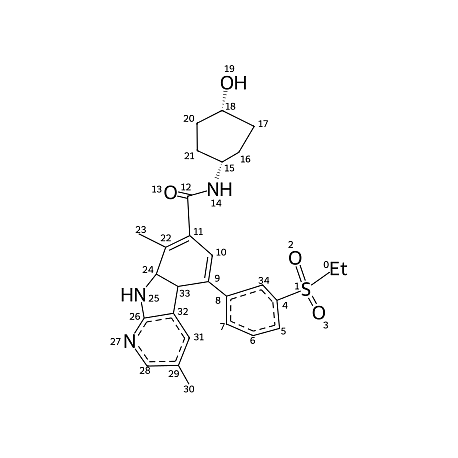 CCS(=O)(=O)c1cccc(C2=CC(C(=O)N[C@H]3CC[C@@H](O)CC3)=C(C)C3Nc4ncc(C)cc4C23)c1